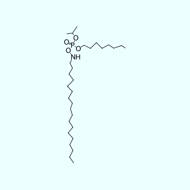 CCCCCCCCCCCCCCCCCCNOP(=O)(OCCCCCCCC)OC(C)C